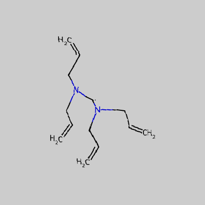 C=CCN([CH]N(CC=C)CC=C)CC=C